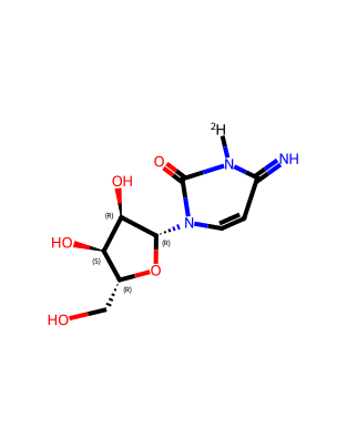 [2H]n1c(=N)ccn([C@@H]2O[C@H](CO)[C@@H](O)[C@H]2O)c1=O